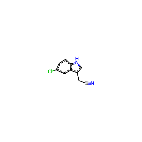 N#CCc1c[nH]c2ccc(Cl)cc12